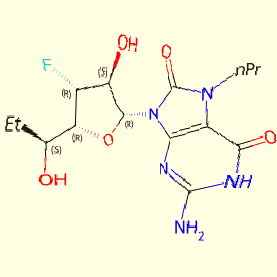 CCCn1c(=O)n([C@@H]2O[C@H]([C@@H](O)CC)[C@H](F)[C@H]2O)c2nc(N)[nH]c(=O)c21